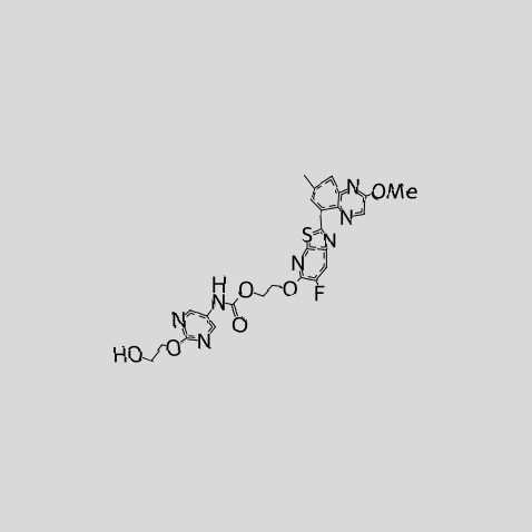 COc1cnc2c(-c3nc4cc(F)c(OCCOC(=O)Nc5cnc(OCCO)nc5)nc4s3)cc(C)cc2n1